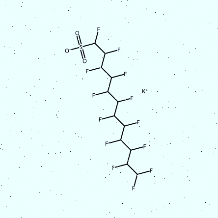 O=S(=O)([O-])C(F)C(F)C(F)C(F)C(F)C(F)C(F)C(F)C(F)C(F)C(F)C(F)F.[K+]